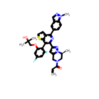 C=CC(=O)N1Cc2cc(-c3nc(-c4ccc5c(cnn5C)c4)c4ccsc4c3-c3c(F)cc(F)cc3OCC(C)(C)O)nn2[C@@H](C)C1